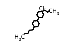 CCCCCC1CCC(C2CCC(C)(CCC)CC2)CC1